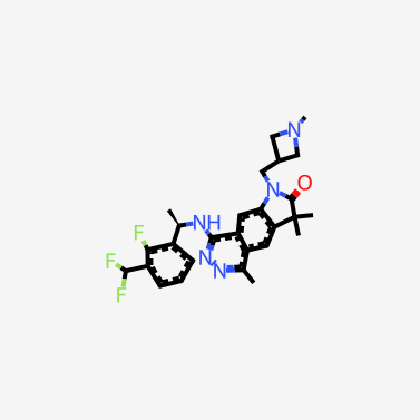 Cc1nnc(N[C@H](C)c2cccc(C(F)F)c2F)c2cc3c(cc12)C(C)(C)C(=O)N3CC1CN(C)C1